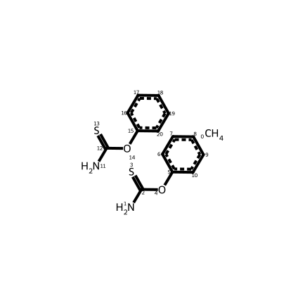 C.NC(=S)Oc1ccccc1.NC(=S)Oc1ccccc1